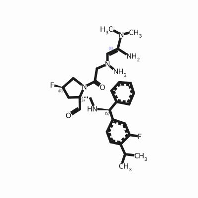 CC(C)c1ccc([C@@H](NC[C@]2(C=O)C[C@@H](F)CN2C(=O)CN(N)/C=C(\N)N(C)C)c2ccccc2)cc1F